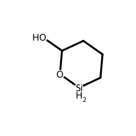 OC1CCC[SiH2]O1